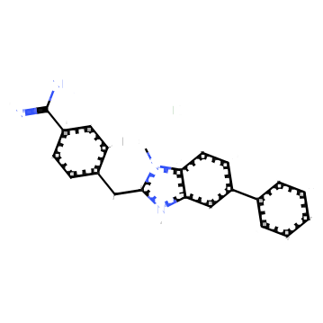 Cl.Cn1c(Cc2ccc(C(=N)N)cc2)nc2cc(-c3ccccc3)ccc21